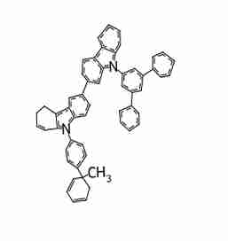 CC1(c2ccc(-n3c4c(c5cc(-c6ccc7c8ccccc8n(-c8cc(-c9ccccc9)cc(-c9ccccc9)c8)c7c6)ccc53)CCC=C4)cc2)C=CC=CC1